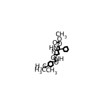 CCOC(=O)Oc1[nH]c2ncc(NS(=O)(=O)c3ccc(C(C)(C)C)cc3)cc2c1-c1ccccc1